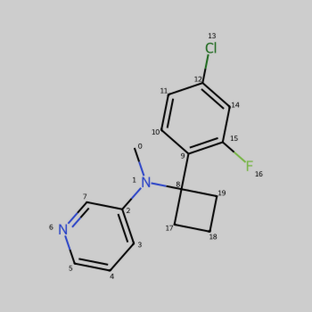 CN(c1cccnc1)C1(c2ccc(Cl)cc2F)CCC1